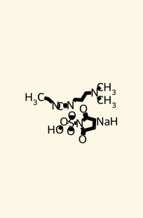 CCN=C=NCCCN(C)C.O=C1CCC(=O)N1S(=O)(=O)OO.[NaH]